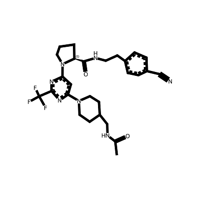 CC(=O)NCC1CCN(c2cc(N3CCC[C@H]3C(=O)NCCc3ccc(C#N)cc3)nc(C(F)(F)F)n2)CC1